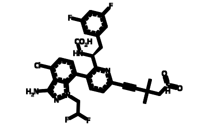 CC(C)(C#Cc1ccc(-c2ccc(Cl)c3c(N)nn(CC(F)F)c23)c([C@H](Cc2cc(F)cc(F)c2)NC(=O)O)n1)C[SH](=O)=O